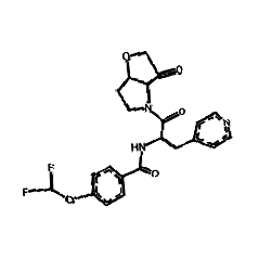 O=C(NC(Cc1ccncc1)C(=O)N1CCC2OCC(=O)C21)c1ccc(OC(F)F)cc1